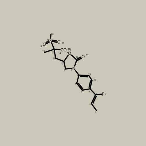 CC=C(F)c1ccc(N2CC(CC(C)(C(=O)O)S(C)(=O)=O)OC2=O)cc1